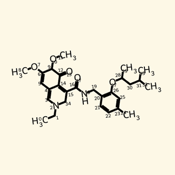 CCN1C=C2C=C(OC)C(OC)C(=O)C2=C(C(=O)NCc2ccc(C)cc2OC(C)CC(C)C)C1